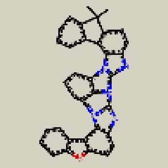 CC1(C)c2ccccc2-c2c1ccc1nc3n(c4cccc5c4n3c3nc4ccc6oc7ccccc7c6c4n53)c21